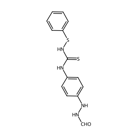 O=CNNc1ccc(NC(=S)NSc2ccccc2)cc1